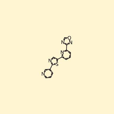 c1cncc(-c2ncc(-c3cccc(-c4ncon4)n3)s2)c1